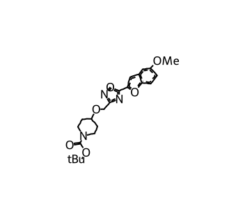 COc1ccc2oc(-c3nc(COC4CCN(C(=O)OC(C)(C)C)CC4)no3)cc2c1